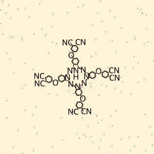 CN1/C2=N\C3c4cc(Oc5ccc(C#N)c(C#N)c5)ccc4/C(=N/C4c5cc(Oc6ccc(C#N)c(C#N)c6)ccc5/C(=N/C5N/C(=N\C1c1cc(Oc6ccc(C#N)c(C#N)c6)ccc12)c1ccc(Oc2ccc(C#N)c(C#N)c2)cc15)N4C)N3C